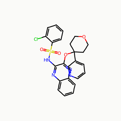 O=S(=O)(Nc1nc2ccccc2nc1OC1(c2cccnc2)CCOCC1)c1ccccc1Cl